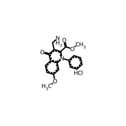 COC(=O)c1c(CN)c(=O)c2ccc(OC)cc2n1-c1ccccc1.Cl